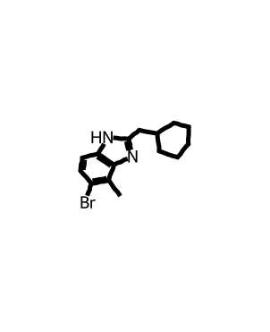 Cc1c(Br)ccc2[nH]c(CC3CCCCC3)nc12